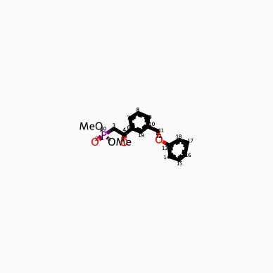 COP(=O)(CC(=O)c1cccc(COc2ccccc2)c1)OC